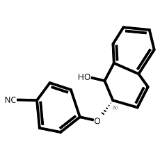 N#Cc1ccc(O[C@H]2C=Cc3ccccc3C2O)cc1